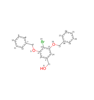 OCc1cc(OCc2ccccc2)c(Br)c(OCc2ccccc2)c1